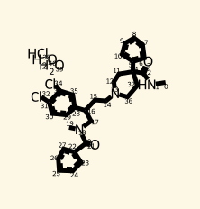 CNC(=O)C1(c2ccccc2)CCN(CCC(CN(C)C(=O)c2ccccc2)c2ccc(Cl)c(Cl)c2)CC1.Cl.O.O